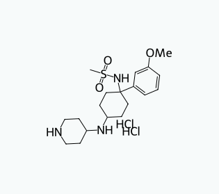 COc1cccc(C2(NS(C)(=O)=O)CCC(NC3CCNCC3)CC2)c1.Cl.Cl